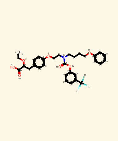 CCOC(Cc1ccc(OCCN(CCCCOc2ccccc2)C(=O)Oc2cccc(C(F)(F)F)c2)cc1)C(=O)O